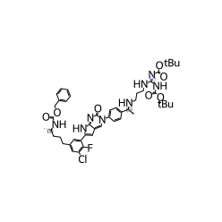 C[C@H](NCCCN/C(=N/C(=O)OC(C)(C)C)NC(=O)OC(C)(C)C)c1ccc(-n2cc3cc(-c4cc(CCC[C@H](C)NC(=O)OCc5ccccc5)cc(Cl)c4F)[nH]c3nc2=O)cc1